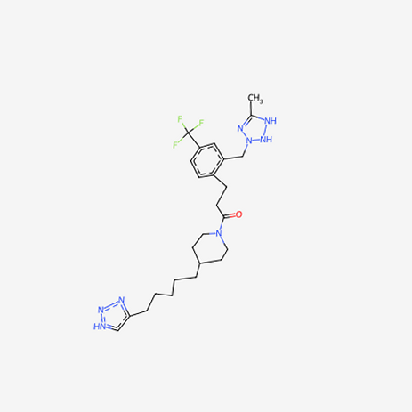 CC1=NN(Cc2cc(C(F)(F)F)ccc2CCC(=O)N2CCC(CCCCCc3c[nH]nn3)CC2)NN1